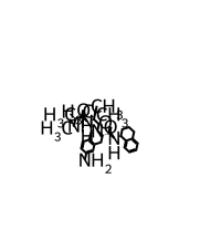 CN[C@@H](C)C(=O)N[C@H](C(=O)N1Cc2ccc(N)cc2C[C@H]1C(=O)N[C@@H]1CCCc2ccccc21)C(C)(C)C